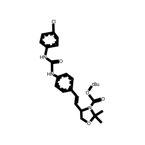 CC(C)(C)OC(=O)N1C(C=Cc2ccc(NC(=O)Nc3ccc(Cl)cc3)cc2)COC1(C)C